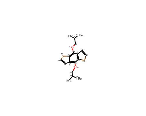 CCCCC(CC)COc1c2ccsc2c(OCC(CC)CCCC)c2ccsc12